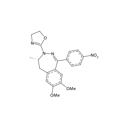 COc1cc2c(cc1OC)C(c1ccc([N+](=O)[O-])cc1)=NN(C1=NCCO1)[C@@H](C)C2